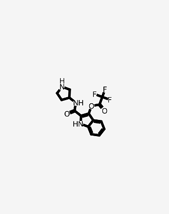 O=C(NC1CCNC1)c1[nH]c2ccccc2c1OC(=O)C(F)(F)F